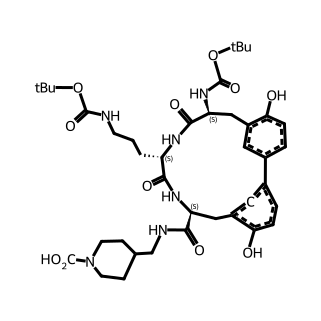 CC(C)(C)OC(=O)NCCC[C@@H]1NC(=O)[C@@H](NC(=O)OC(C)(C)C)Cc2cc(ccc2O)-c2ccc(O)c(c2)C[C@@H](C(=O)NCC2CCN(C(=O)O)CC2)NC1=O